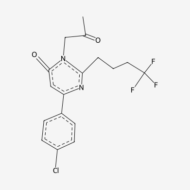 CC(=O)Cn1c(CCCC(F)(F)F)nc(-c2ccc(Cl)cc2)cc1=O